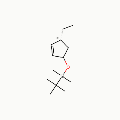 CC[C@H]1C=CC(O[Si](C)(C)C(C)(C)C)C1